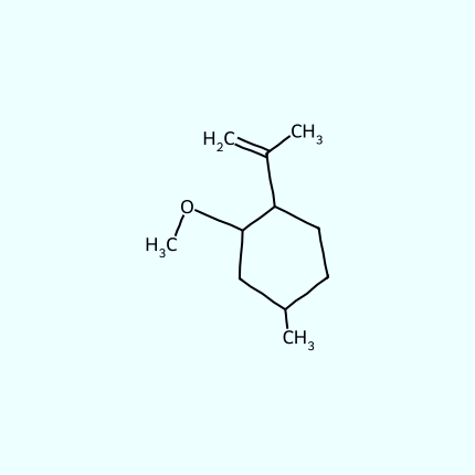 C=C(C)C1CCC(C)CC1OC